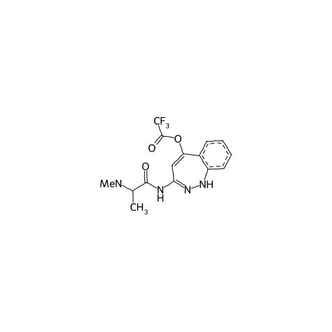 CNC(C)C(=O)NC1=NNc2ccccc2C(OC(=O)C(F)(F)F)=C1